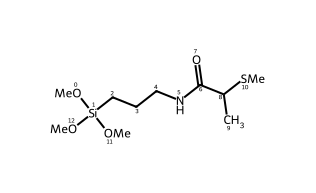 CO[Si](CCCNC(=O)C(C)SC)(OC)OC